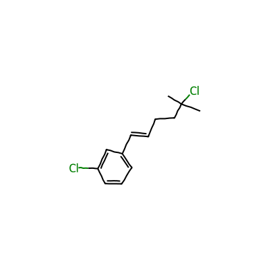 CC(C)(Cl)CC/C=C/c1cccc(Cl)c1